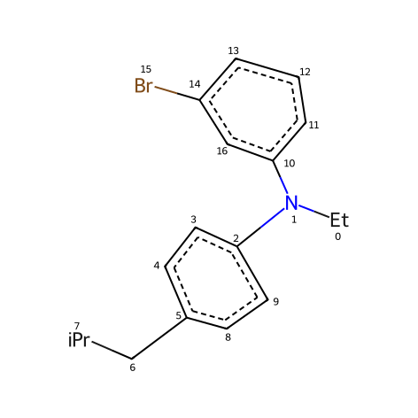 CCN(c1ccc(CC(C)C)cc1)c1cccc(Br)c1